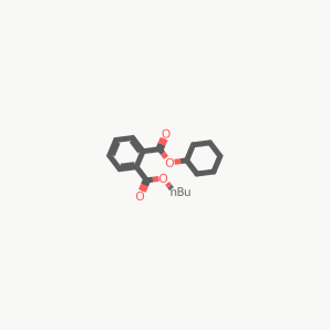 CCCCOC(=O)c1ccccc1C(=O)OC1CCCCC1